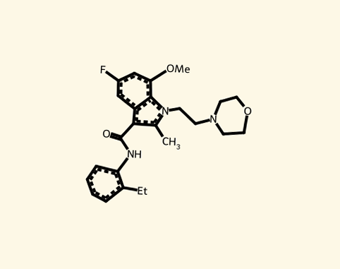 CCc1ccccc1NC(=O)c1c(C)n(CCN2CCOCC2)c2c(OC)cc(F)cc12